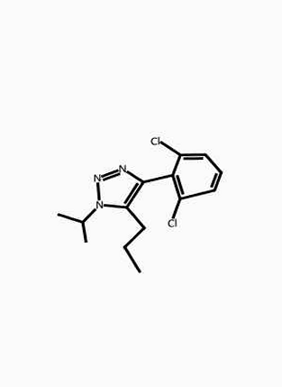 CCCc1c(-c2c(Cl)cccc2Cl)nnn1C(C)C